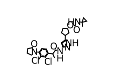 CC(C(=O)Nc1cc(C2CCC(OC(=O)NC3(C)CC3)C2)[nH]n1)c1ccc(N2CCCC2=O)c(Cl)c1Cl